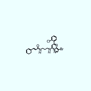 O=C(/C=C/C1=CC=CCC1)NCCCNc1cc(-c2ccccc2Cl)nc2c(Br)cnn12